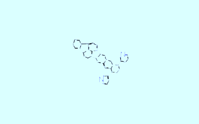 c1cncc(-c2ccc(-c3cccnc3)c3cc4cc5c(cc4cc23)-c2ccc3c4c(ccc-5c24)-c2ccccc2-3)c1